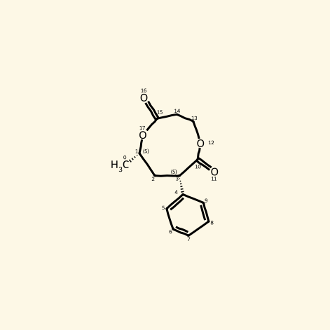 C[C@H]1C[C@@H](c2ccccc2)C(=O)OCCC(=O)O1